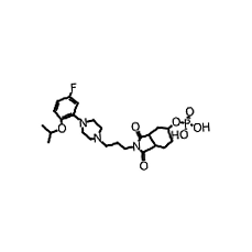 CC(C)Oc1ccc(F)cc1N1CCN(CCCN2C(=O)C3CCC(OP(=O)(O)O)CC3C2=O)CC1